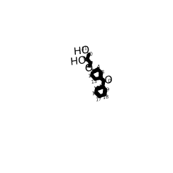 O=C(C1=CC=C(OCC(O)CO)CC1)c1ccccc1